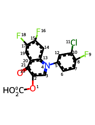 O=C(O)Oc1cn(-c2ccc(F)c(Cl)c2)c2cc(F)c(F)cc2c1=O